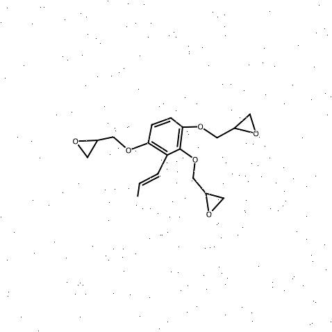 CC=Cc1c(OCC2CO2)ccc(OCC2CO2)c1OCC1CO1